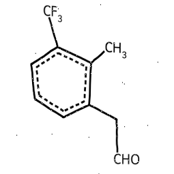 Cc1c(CC=O)cccc1C(F)(F)F